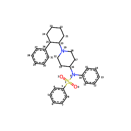 O=S(=O)(c1ccccc1)N(c1ccccc1)C1CCN(C2CCCCC2c2ccccc2)CC1